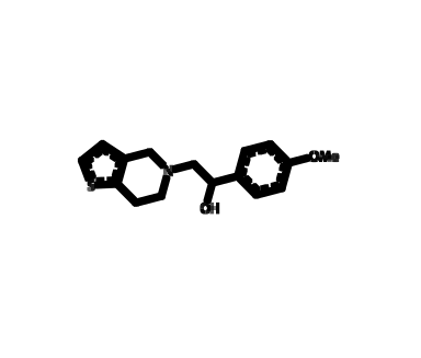 COc1ccc(C(O)CN2CCc3sccc3C2)cc1